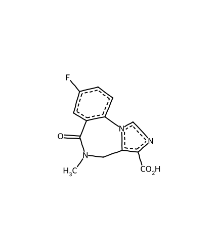 CN1Cc2c(C(=O)O)ncn2-c2ccc(F)cc2C1=O